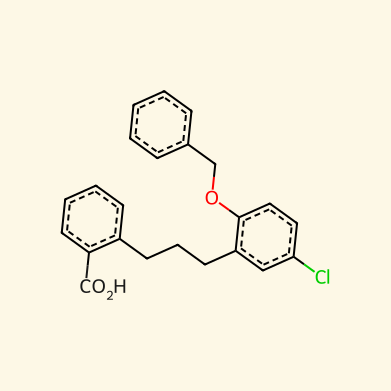 O=C(O)c1ccccc1CCCc1cc(Cl)ccc1OCc1ccccc1